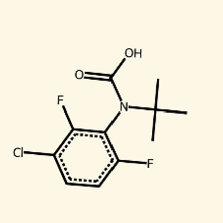 CC(C)(C)N(C(=O)O)c1c(F)ccc(Cl)c1F